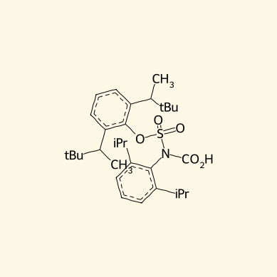 CC(C)c1cccc(C(C)C)c1N(C(=O)O)S(=O)(=O)Oc1c(C(C)C(C)(C)C)cccc1C(C)C(C)(C)C